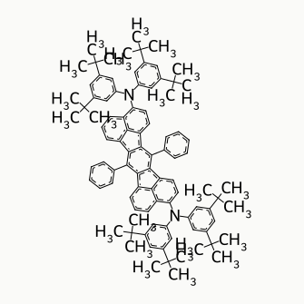 CC(C)(C)c1cc(N(c2cc(C(C)(C)C)cc(C(C)(C)C)c2)c2ccc3c4c(-c5ccccc5)c5c6ccc(N(c7cc(C(C)(C)C)cc(C(C)(C)C)c7)c7cc(C(C)(C)C)cc(C(C)(C)C)c7)c7cccc(c5c(-c5ccccc5)c4c4cccc2c43)c76)cc(C(C)(C)C)c1